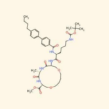 CCCCc1ccc(-c2ccc(C(=O)N[C@@H](CCCCNC(=O)OC(C)(C)C)C(=O)N[C@H]3COCCCCOC[C@@H](C(=O)OC)NC(=O)[C@H](C)NC3=O)cc2)cc1